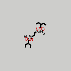 CCC(CC)C(=O)O[SiH2]CC[SiH2]OC(=O)C(CC)CC